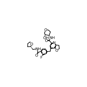 O=C(N[C@H]1CCOC[C@@H]1O)c1cc(Cc2ccc(C(=O)NC[C@H]3CCCO3)c(F)c2)c2c(n1)CCO2